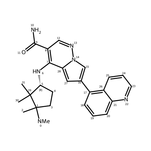 CNC1(C)CC[C@@H](Nc2c(C(N)=O)cnn3cc(-c4cccc5ncccc45)cc23)C1(C)C